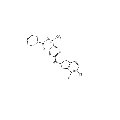 CN(C(=O)C1CCSCC1)[C@@H](c1ccc(NC2Cc3ccc(Cl)c(F)c3C2)nc1)C(F)(F)F